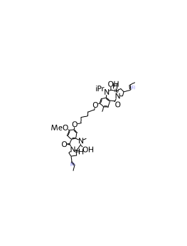 C/C=C/C1C[C@H]2C(O)N(C)c3cc(OCCCCCOc4cc5c(cc4C)C(=O)N4CC(/C=C/C)C[C@H]4C(O)N5C(C)C)c(OC)cc3C(=O)N2C1